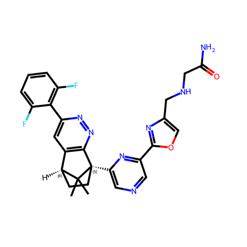 CC1(C)[C@H]2CC[C@]1(c1cncc(-c3nc(CNCC(N)=O)co3)n1)c1nnc(-c3c(F)cccc3F)cc12